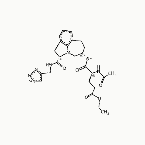 CCOC(=O)CC[C@H](NC(C)=O)C(=O)N[C@H]1CCc2cccc3c2N(C1)[C@H](C(=O)NCc1c[nH]nn1)C3